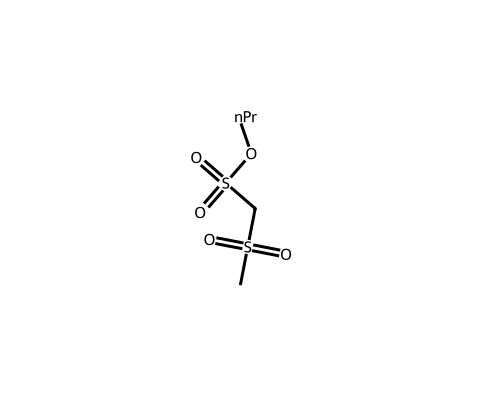 CCCOS(=O)(=O)CS(C)(=O)=O